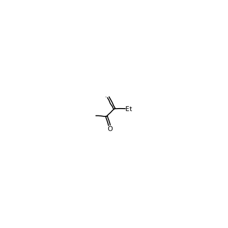 [CH]=C(CC)C(C)=O